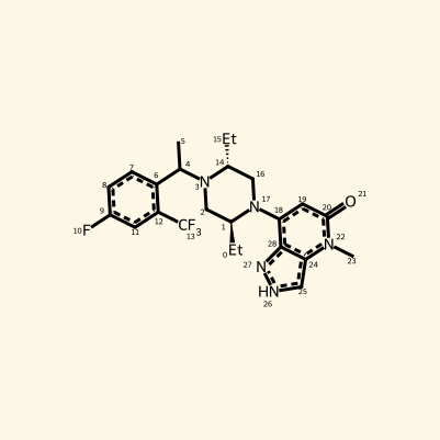 CC[C@H]1CN(C(C)c2ccc(F)cc2C(F)(F)F)[C@H](CC)CN1c1cc(=O)n(C)c2c[nH]nc12